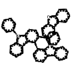 c1ccc(-c2ccc3c(c2-c2cccc4c5ccccc5n(-c5ccc6oc7ccccc7c6c5)c24)c2ccccc2n3-c2ccccc2)cc1